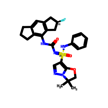 CC1(C)COc2c([S@](=O)(=NC(=O)Nc3c4c(cc5c3C[C@H](F)C5)CCC4)Nc3ccccc3)cnn21